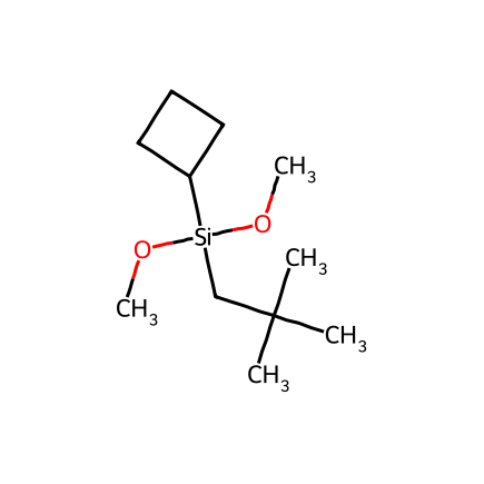 CO[Si](CC(C)(C)C)(OC)C1CCC1